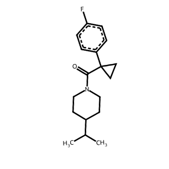 CC(C)C1CCN(C(=O)C2(c3ccc(F)cc3)CC2)CC1